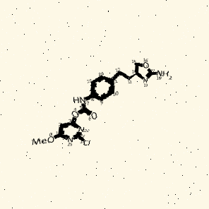 COc1cc(OC(=O)Nc2ccc(CC[C@H]3COC(N)=N3)cc2)nc(Cl)n1